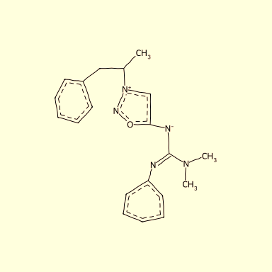 CC(Cc1ccccc1)[n+]1cc([N-]C(=Nc2ccccc2)N(C)C)on1